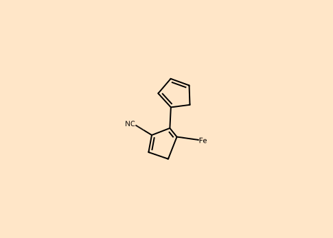 N#CC1=CC[C]([Fe])=C1C1=CC=CC1